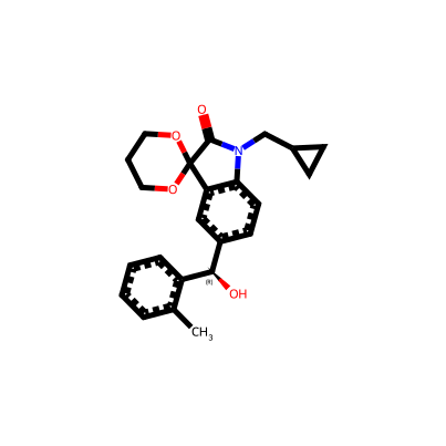 Cc1ccccc1[C@H](O)c1ccc2c(c1)C1(OCCCO1)C(=O)N2CC1CC1